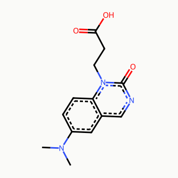 CN(C)c1ccc2c(cnc(=O)n2CCC(=O)O)c1